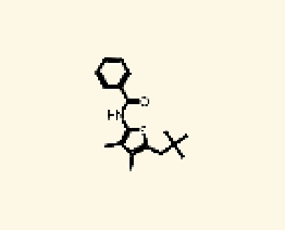 Cc1c(CC(C)(C)C)sc(NC(=O)c2ccccc2)c1C